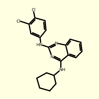 Clc1ccc(Nc2nc(NC3CCCCC3)c3ccccc3n2)cc1Cl